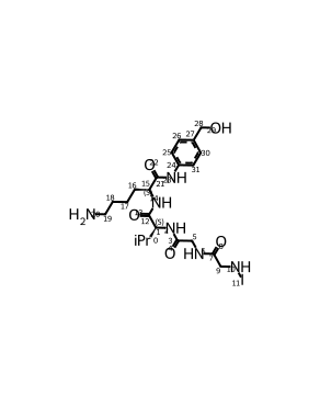 CC(C)[C@H](NC(=O)CNC(=O)CNI)C(=O)N[C@@H](CCCCN)C(=O)Nc1ccc(CO)cc1